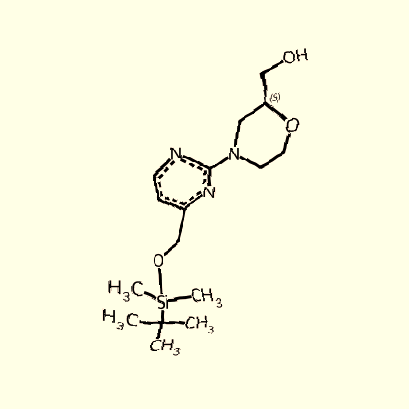 CC(C)(C)[Si](C)(C)OCc1ccnc(N2CCO[C@H](CO)C2)n1